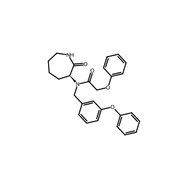 O=C1NCCCC[C@@H]1N(Cc1cccc(Oc2ccccc2)c1)C(=O)COc1ccccc1